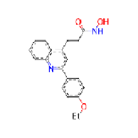 CCOc1ccc(-c2cc(CCC(=O)NO)c3ccccc3n2)cc1